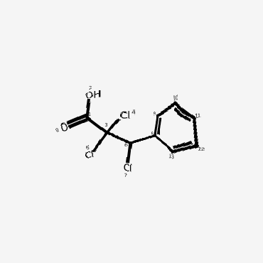 O=C(O)C(Cl)(Cl)C(Cl)c1ccccc1